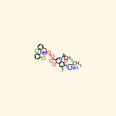 COc1c(N2CCNC(C)C2)c(F)cc2c(=O)c(C(=O)OCOC(=O)Cc3ccccc3Nc3c(Cl)cccc3Cl)cn(C3CC3)c12